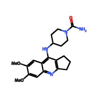 COc1cc2nc3c(c(NC4CCN(C(N)=O)CC4)c2cc1OC)CCC3